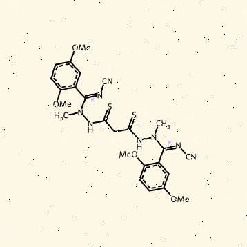 COc1ccc(OC)c(/C(=N\C#N)N(C)NC(=S)CC(=S)NN(C)/C(=N/C#N)c2cc(OC)ccc2OC)c1